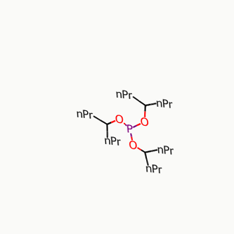 CCCC(CCC)OP(OC(CCC)CCC)OC(CCC)CCC